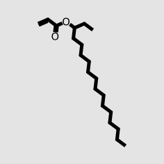 C=CC(=O)OC(CC)CCCCCCCCCCCCCC